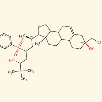 CC[C@]1(O)CCC2C(=CCC3C2CCC2(C)C3CCC2[C@H](C)CC(CC(O)C(C)(C)C)S(=O)(=O)c2ccccc2)C1